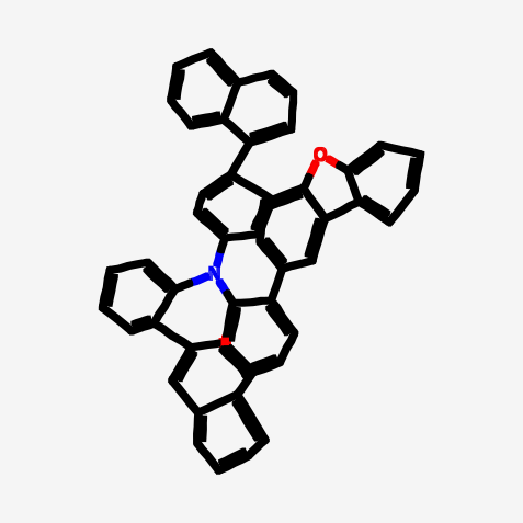 c1ccc(N(c2ccc(-c3cccc4ccccc34)cc2)c2ccccc2-c2ccc3oc4ccccc4c3c2)c(-c2ccc3ccccc3c2)c1